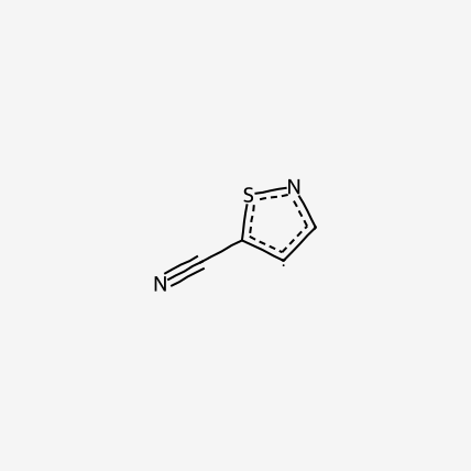 N#Cc1[c]cns1